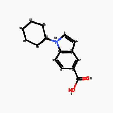 O=C(O)c1ccc2c(ccn2C2CCCCC2)c1